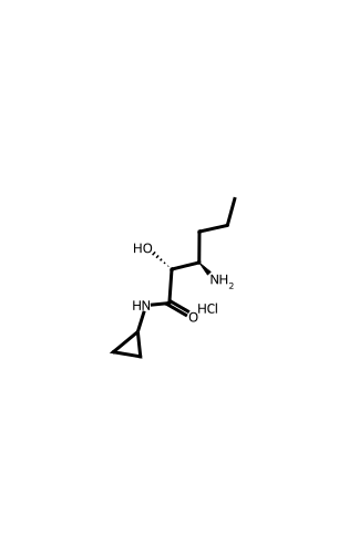 CCC[C@@H](N)[C@@H](O)C(=O)NC1CC1.Cl